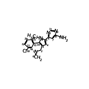 C=NCc1cc(-c2cc(N)ncn2)[nH]c1-c1cc(Cl)ccc1C